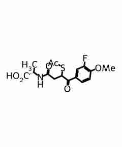 COc1ccc(C(=O)C(CC(=O)N[C@@H](C)C(=O)O)SC(C)=O)cc1F